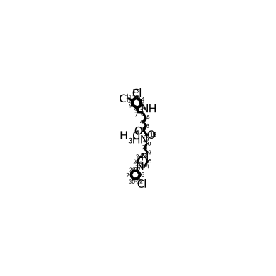 COC(=CC=Cc1cc2cc(Cl)c(Cl)cc2[nH]1)C(=O)NCCCN1CCN(c2cccc(Cl)c2)CC1